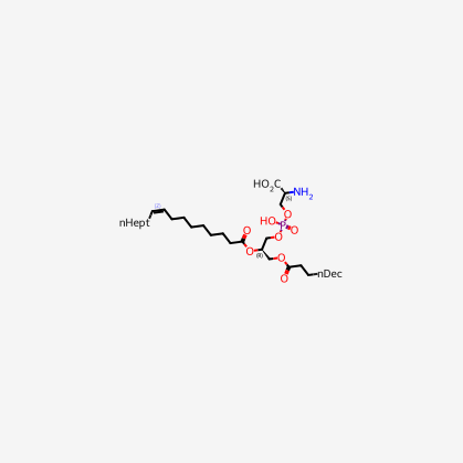 CCCCCCC/C=C\CCCCCCCC(=O)O[C@H](COC(=O)CCCCCCCCCCCC)COP(=O)(O)OC[C@H](N)C(=O)O